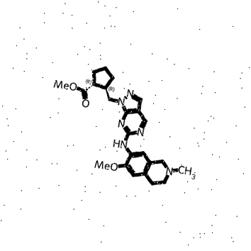 COC(=O)[C@@H]1CCC[C@H]1Cn1ncc2cnc(Nc3cc4c(cc3OC)CCN(C)C4)nc21